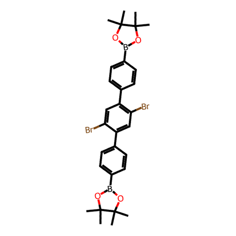 CC1(C)OB(c2ccc(-c3cc(Br)c(-c4ccc(B5OC(C)(C)C(C)(C)O5)cc4)cc3Br)cc2)OC1(C)C